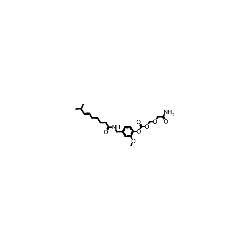 COc1cc(CNC(=O)CCCC/C=C/C(C)C)ccc1OC(=O)OCOCC(N)=O